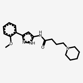 COc1ccccc1-c1cc(NC(=O)CCCN2CCCCC2)[nH]n1